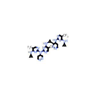 FC(F)(F)c1cnc(Nc2ccnnc2C2CC2Nc2nc(N(c3ccnnc3)c3ncc(C(F)(F)F)c(NC4CC4)n3)ncc2C(F)(F)F)nc1NC1CC1